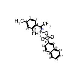 Cc1ccc(/C(=N/OS(=O)(=O)c2ccc3ccccc3c2)C(F)(F)F)c(C)c1